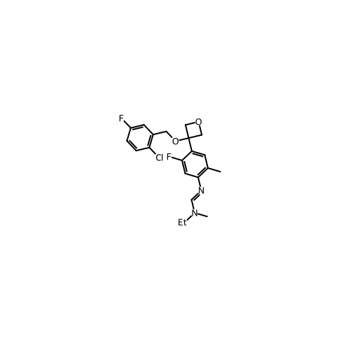 CCN(C)C=Nc1cc(F)c(C2(OCc3cc(F)ccc3Cl)COC2)cc1C